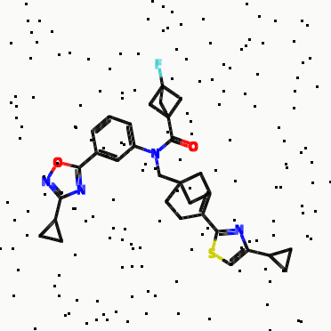 O=C(N(CC12CCC(c3nc(C4CC4)cs3)=C(C1)C2)c1cccc(-c2nc(C3CC3)no2)c1)C12CC(F)(C1)C2